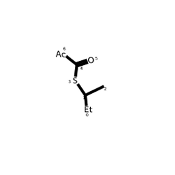 CCC(C)SC(=O)C(C)=O